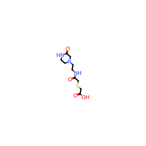 O=C(O)CSCC(=O)NCCN1CCNC(=O)C1